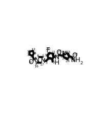 Cc1c(CN2CCN(C(=O)C3CCCC3)[C@@H](C)C2)cc(F)cc1NC(=O)c1ccc(C(N)=O)cn1